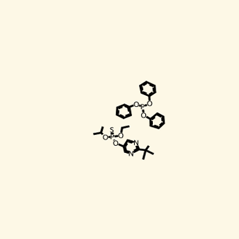 CCOP(=S)(Oc1cnc(C(C)(C)C)nc1)OC(C)C.c1ccc(OP(Oc2ccccc2)Oc2ccccc2)cc1